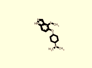 CSc1c(O[C@H]2CC[C@H](N(C)C)CC2)ccc2[nH]ncc12